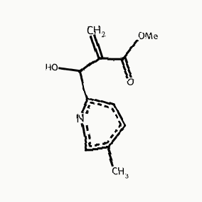 C=C(C(=O)OC)C(O)c1ccc(C)cn1